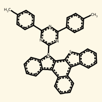 Cc1ccc(-c2nc(-c3ccc(C)cc3)nc(-n3c4ccccc4c4c5ccccc5c5c6ccccc6sc5c43)n2)cc1